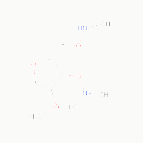 CNOC[C@H]1OCC(OC)C1ON(C)C